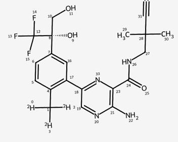 [2H]C([2H])([2H])c1ccc([C@](O)(CO)C(F)(F)F)cc1-c1cnc(N)c(C(=O)NCC(C)(C)C#N)n1